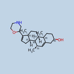 C[C@@H]1C=C2C[C@H](O)CC[C@]2(C)[C@H]2CC[C@]3(C)C(C4CNCCO4)=CC[C@H]3[C@H]12